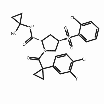 N#CC1(NC(=O)[C@@H]2C[C@@H](S(=O)(=O)c3ccccc3Cl)CN2C(=O)C2(c3ccc(Cl)c(F)c3)CC2)CC1